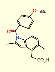 CCCCOc1ccc(C(=O)n2c(C)cc3c(CC(=O)O)c(C)ccc32)cc1